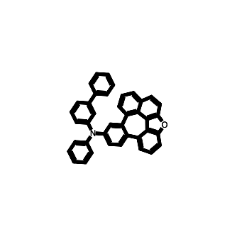 c1ccc(-c2cccc(N(c3ccccc3)c3ccc4c(c3)-c3cccc5ccc6oc7cccc-4c7c6c35)c2)cc1